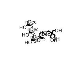 CCCCCCCCCCC(O)=S.CCCCCCCCCCC(O)=S.CCCCCCCCCCC(O)=S.CCCCCCCCCCC(O)=S.OCC(CO)(CO)CO